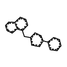 c1ccc(-c2ccc(Cc3cccc4ccccc34)cc2)cc1